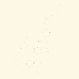 Cc1cc(-c2cc(C)c(N)c3ccccc23)c2ccccc2c1N.Nc1ccc(-c2ccc(N)cc2)cc1.Nc1ccc(-c2nnc(-c3ccc(N)cc3)o2)cc1.O=S(=O)(O)O